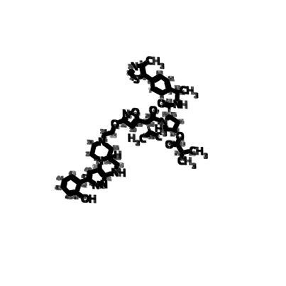 Cc1ncsc1-c1ccc([C@H](C)NC(=O)[C@@H]2C[C@@H](OC(=O)C(C)C)CN2C(=O)[C@@H](c2cc(OCCN3CCN4c5cc(-c6ccccc6O)nnc5NC[C@H]4C3)no2)C(C)C)cc1